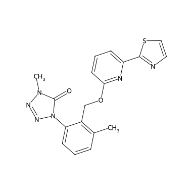 Cc1cccc(-n2nnn(C)c2=O)c1COc1cccc(-c2nccs2)n1